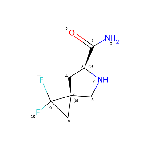 NC(=O)[C@@H]1C[C@@]2(CN1)CC2(F)F